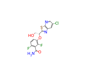 NC(=O)c1c(F)ccc(O[C@H](CO)c2nc3cc(Cl)cnc3s2)c1F